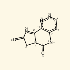 O=C1CN2C(=O)Nc3ccnnc3C2=N1